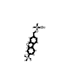 CC(C)(C)[Si](C)(C)OCc1ccc2c(c1)oc1c[c]([Sn]([CH3])([CH3])[CH3])ccc12